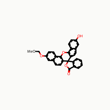 COCOc1ccc2c3c(ccc2c1)C1(OC(=O)c2ccccc21)c1ccc2cc(O)ccc2c1O3